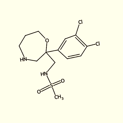 CS(=O)(=O)NCC1(c2ccc(Cl)c(Cl)c2)CNCCCO1